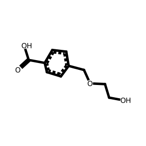 O=C(O)c1ccc(COCCO)cc1